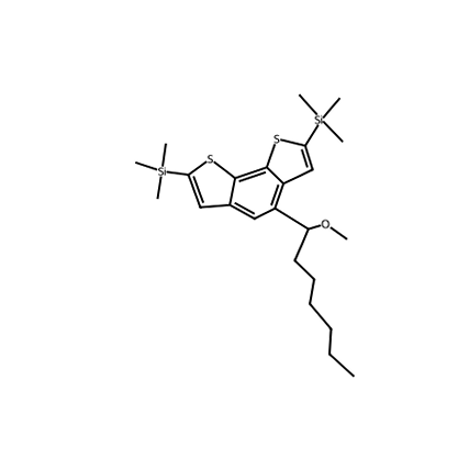 CCCCCCC(OC)c1cc2cc([Si](C)(C)C)sc2c2sc([Si](C)(C)C)cc12